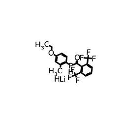 CCOc1ccc(PC(=O)c2c(C(F)(F)F)cccc2C(F)(F)F)c(C)c1.[LiH]